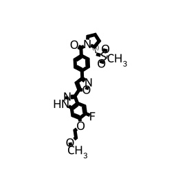 COCCOc1cc2[nH]nc(-c3cc(-c4ccc(C(=O)N5CCC[C@@H]5CS(C)(=O)=O)cc4)no3)c2cc1F